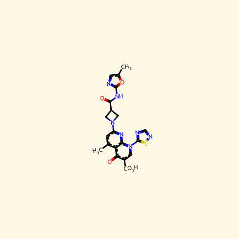 Cc1cnc(NC(=O)C2CN(c3cc(C)c4c(=O)c(C(=O)O)cn(-c5ncns5)c4n3)C2)o1